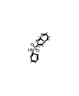 O=S(=O)(Nc1ccccc1)c1cn2cccnc2n1